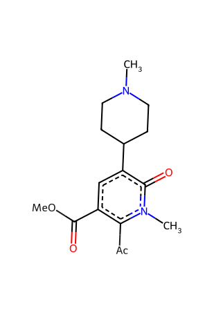 COC(=O)c1cc(C2CCN(C)CC2)c(=O)n(C)c1C(C)=O